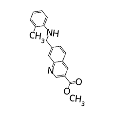 COC(=O)c1cnc2cc(CNc3ccccc3C)ccc2c1